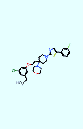 O=C(O)Cc1cc(Cl)cc(OCCC2(N3CCOCC3)CCN(c3ncc(-c4cccc(F)c4)s3)CC2)c1